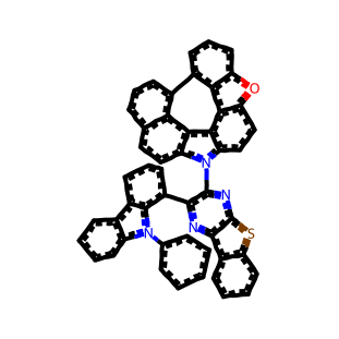 c1ccc(-n2c3ccccc3c3cccc(-c4nc5c(nc4-n4c6ccc7cccc8c7c6c6c7c(ccc64)oc4cccc-8c47)sc4ccccc45)c32)cc1